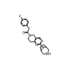 O=C(Cc1ccc(F)cc1)N1CCc2nc(N3C4CCC3CNC4)ncc2C1